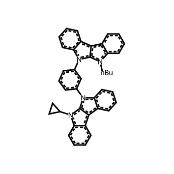 CCCCn1c2ccccc2c2c3ccccc3n(-c3cccc(-n4c5ccccc5c5c6ccccc6n(C6CC6)c54)c3)c21